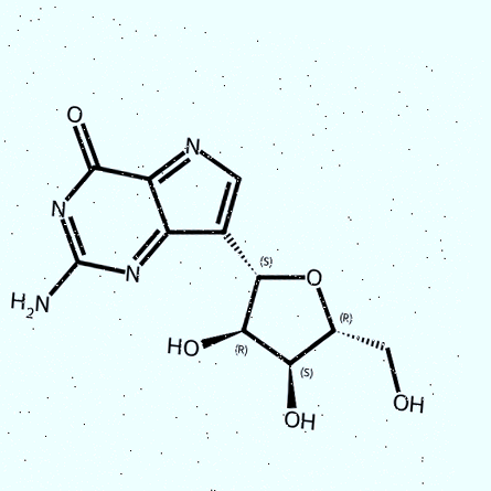 NC1=NC(=O)C2=NC=C([C@@H]3O[C@H](CO)[C@@H](O)[C@H]3O)C2=N1